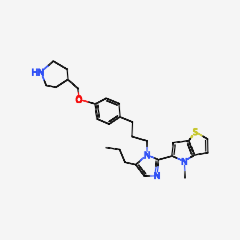 CCCc1cnc(-c2cc3sccc3n2C)n1CCCc1ccc(OCC2CCNCC2)cc1